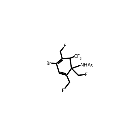 CC(=O)NC1(CF)C(CF)=CC(Br)=C(CF)C1C(F)(F)F